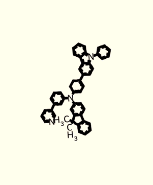 CC1(C)c2ccccc2-c2ccc(N(C3=CC=C(c4ccc5c(c4)c4ccccc4n5-c4ccccc4)CC3)c3cccc(-c4cccnc4)c3)cc21